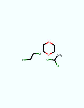 C1COCCO1.CC(Cl)Cl.ClCCCl